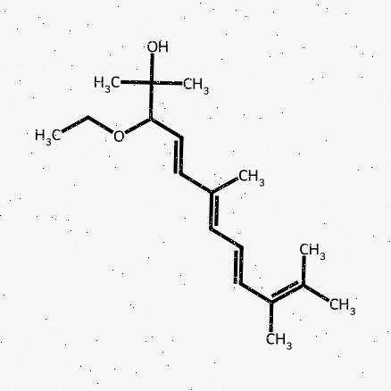 CCOC(/C=C/C(C)=C/C=C/C(C)=C(C)C)C(C)(C)O